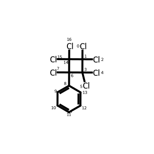 ClC1(Cl)C(Cl)(Cl)C(Cl)(c2cc[c]cc2)C1(Cl)Cl